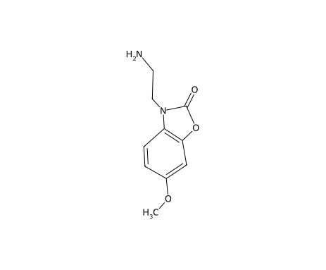 COc1ccc2c(c1)oc(=O)n2CCN